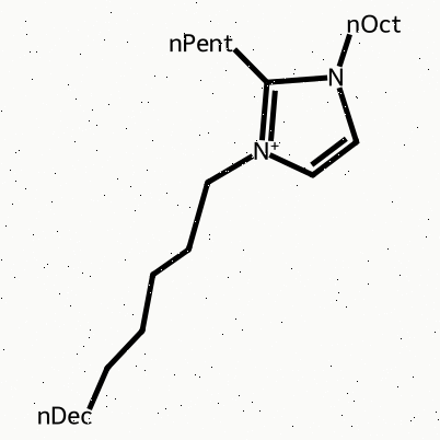 CCCCCCCCCCCCCCC[n+]1ccn(CCCCCCCC)c1CCCCC